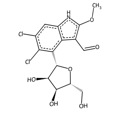 COc1[nH]c2cc(Cl)c(Cl)c([C@@H]3O[C@H](CO)[C@@H](O)[C@H]3O)c2c1C=O